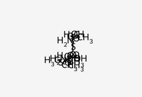 CCSC(C)[C@H](N)C(OC(C)C)C(=O)NC(C)(CC(=O)O)OCCCSCC[C@@H](N)C(OC(C)C)C(=O)O